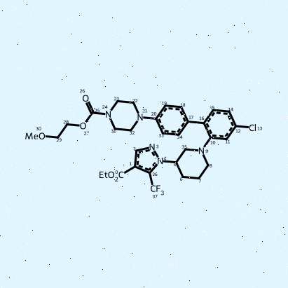 CCOC(=O)c1cnn(C2CCCN(c3cc(Cl)ccc3-c3ccc(N4CCN(C(=O)OCCOC)CC4)cc3)C2)c1C(F)(F)F